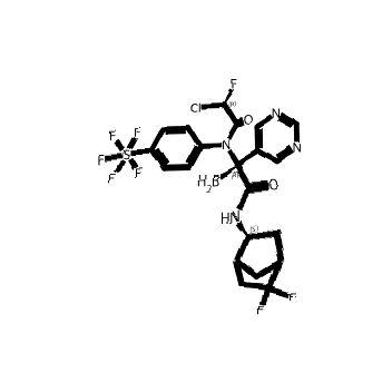 B[C@](C(=O)N[C@H]1CC2CC1CC2(F)F)(c1cncnc1)N(C(=O)[C@H](F)Cl)c1ccc(S(F)(F)(F)(F)F)cc1